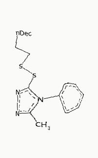 CCCCCCCCCCCCSSc1nnc(C)n1-c1ccccc1